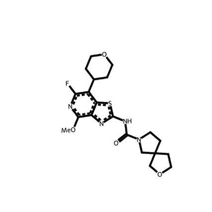 COc1nc(F)c(C2CCOCC2)c2sc(NC(=O)N3CCC4(CCOC4)C3)nc12